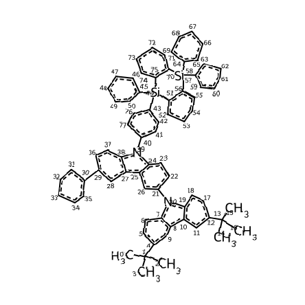 CC(C)(C)c1ccc2c(c1)c1cc(C(C)(C)C)ccc1n2-c1ccc2c(c1)c1cc(-c3ccccc3)ccc1n2-c1ccc([Si]2(c3ccccc3)c3ccccc3[Si](c3ccccc3)(c3ccccc3)c3ccccc32)cc1